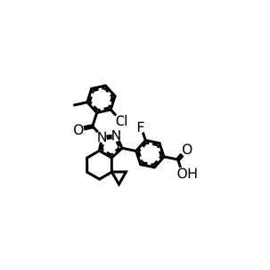 Cc1cccc(Cl)c1C(=O)n1nc(-c2ccc(C(=O)O)cc2F)c2c1CCCC21CC1